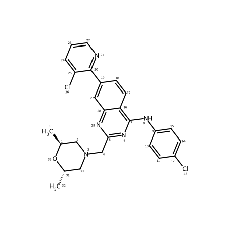 C[C@H]1CN(Cc2nc(Nc3ccc(Cl)cc3)c3ccc(-c4ncccc4Cl)cc3n2)C[C@H](C)O1